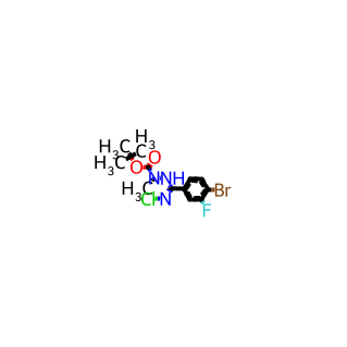 CN(N/C(=N\Cl)c1ccc(Br)c(F)c1)C(=O)OC(C)(C)C